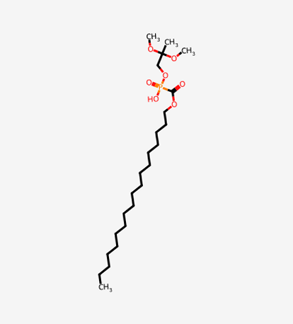 CCCCCCCCCCCCCCCCCCOC(=O)P(=O)(O)OCC(C)(OC)OC